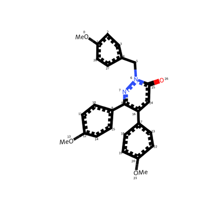 COc1ccc(Cn2nc(-c3ccc(OC)cc3)c(-c3ccc(OC)cc3)cc2=O)cc1